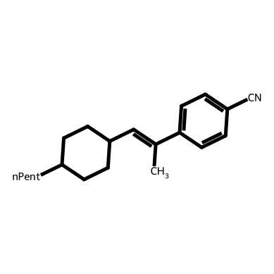 CCCCCC1CCC(/C=C(\C)c2ccc(C#N)cc2)CC1